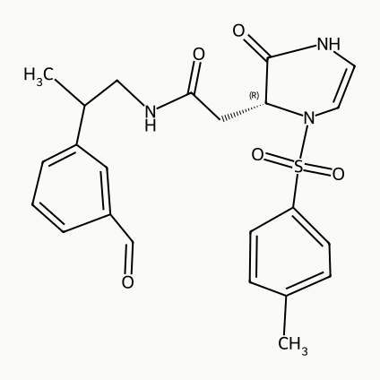 Cc1ccc(S(=O)(=O)N2C=CNC(=O)[C@H]2CC(=O)NCC(C)c2cccc(C=O)c2)cc1